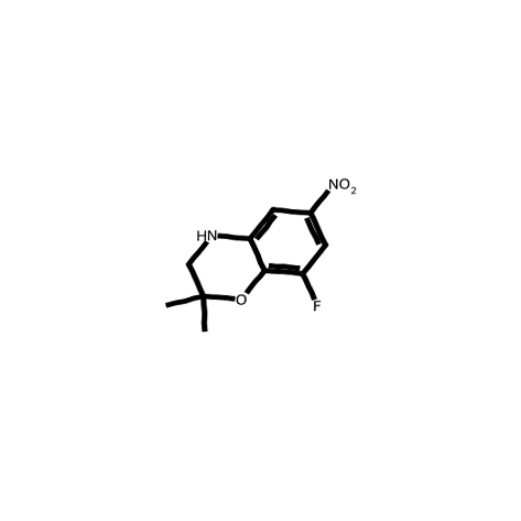 CC1(C)CNc2cc([N+](=O)[O-])cc(F)c2O1